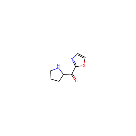 O=C(c1ncco1)C1CCCN1